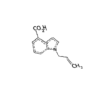 C=CCn1ccc2c(C(=O)O)cccc21